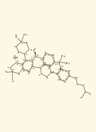 CC(C)CCOc1cnc(N2CCC(c3nc4c(c(C5CCC(F)(F)CC5)c3[C@@H](F)c3ccc(C(F)(F)F)cc3)[C@@H](O)CC(C)(C)C4)CC2)nc1